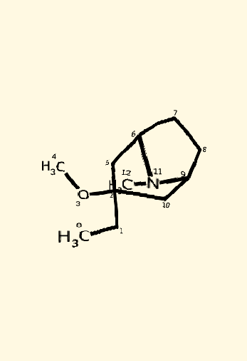 CCC1(OC)CC2CCC(C1)N2C